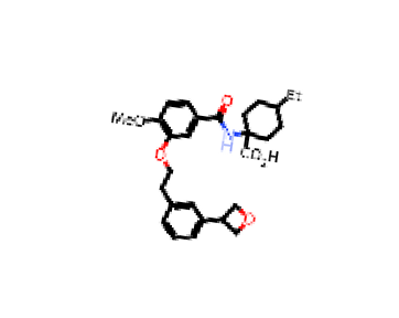 CCC1CCC(NC(=O)c2ccc(OC)c(OCCc3cccc(C4COC4)c3)c2)(C(=O)O)CC1